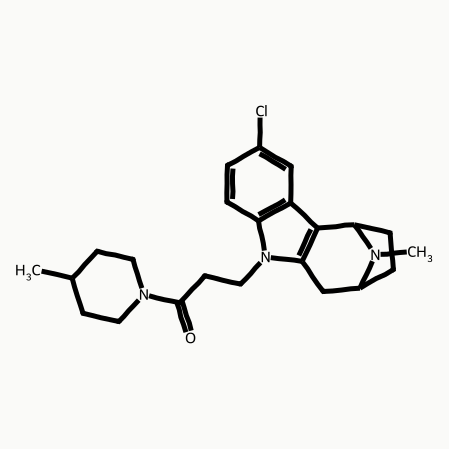 CC1CCN(C(=O)CCn2c3c(c4cc(Cl)ccc42)C2CCC(C3)N2C)CC1